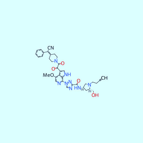 C#CCCN1C[C@@H](NC(=O)c2ncn(-c3ncc(OC)c4c(C(=O)C(=O)N5CCC(=C(C#N)c6ccccc6)CC5)c[nH]c34)n2)C[C@H]1CO